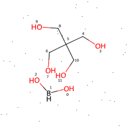 OBO.OCC(CO)(CO)CO